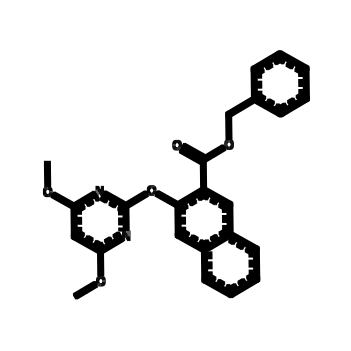 COc1cc(OC)nc(Oc2cc3ccccc3cc2C(=O)OCc2ccccc2)n1